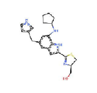 OC[C@@H]1CSC(c2cc3cc(Cc4cc[nH]c4)cc(NC4CCCC4)c3[nH]2)=N1